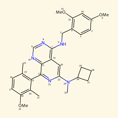 COc1ccc(CNc2ncnc3c(-c4c(C)ccc(OC)c4C)nc(N(C)C4CCC4)cc23)c(OC)c1